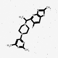 Cc1cc(N2CCN(C(C)c3nc4nc(C)sc4cc3F)CC2)nc(C)n1